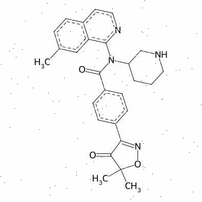 Cc1ccc2ccnc(N(C(=O)c3ccc(C4=NOC(C)(C)C4=O)cc3)C3CCCNC3)c2c1